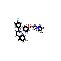 Fc1ccc(C2CCc3ccccc3N2c2ccc(OCCn3cccc3)cc2)cc1